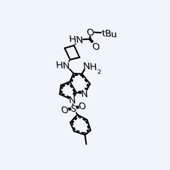 Cc1ccc(S(=O)(=O)n2ccc3c(N[C@H]4C[C@@H](NC(=O)OC(C)(C)C)C4)c(N)cnc32)cc1